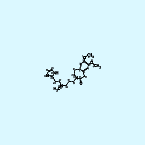 COc1cc2c(cc1OC)CC(=O)N(CCCN(C)CCc1ncc[nH]1)CC2